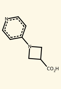 O=C(O)C1CN(c2ccncc2)C1